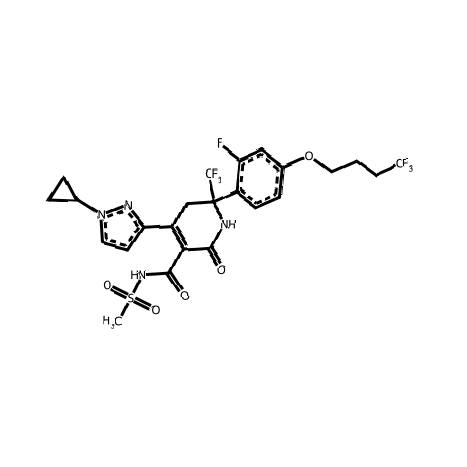 CS(=O)(=O)NC(=O)C1=C(c2ccn(C3CC3)n2)CC(c2ccc(OCCCC(F)(F)F)cc2F)(C(F)(F)F)NC1=O